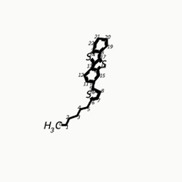 CCCCCCc1ccc(-c2ccc3c(c2)sc2c4ccccc4sc32)s1